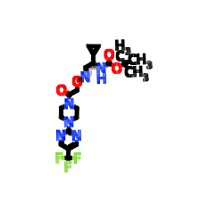 CC(C)(C)OC(=O)N[C@H](/C=N/OCC(=O)N1CCN(c2ncc(C(F)(F)F)cn2)CC1)C1CC1